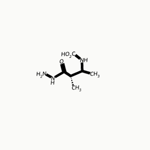 CC(NC(=O)O)[C@H](C)C(=O)NN